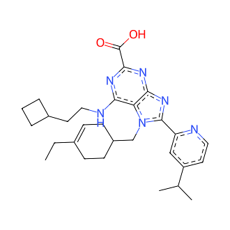 CCC1=CCC(Cn2c(-c3cc(C(C)C)ccn3)nc3nc(C(=O)O)nc(NCCC4CCC4)c32)CC1